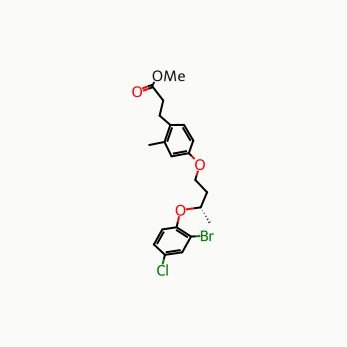 COC(=O)CCc1ccc(OCC[C@H](C)Oc2ccc(Cl)cc2Br)cc1C